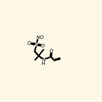 C=CC(=O)NC(C)(C)CS(=O)(=O)N=O